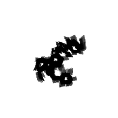 Cc1nccc2c3cc(NC(=S)Nc4ccc(F)cc4)ccc3n(Cc3ccccc3)c12